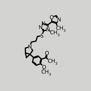 COc1ccc(C23CC2CN(CCCSc2nnc(-c4ocnc4C)n2C)C3)cc1C(C)=O